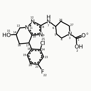 O=C(O)N1CCC(Nc2nc3n(n2)CC(O)CC3c2ccc(F)cc2Cl)CC1